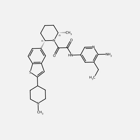 CCc1cc(NC(=O)C(=O)N2[C@@H](C)CCC[C@H]2c2ccc3sc(C4CCN(C)CC4)cc3c2)cnc1N